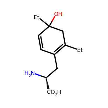 CCC1=C(C[C@H](N)C(=O)O)C=CC(O)(CC)C1